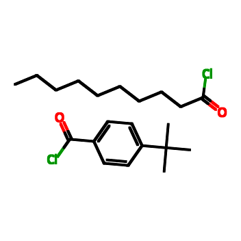 CC(C)(C)c1ccc(C(=O)Cl)cc1.CCCCCCCCCC(=O)Cl